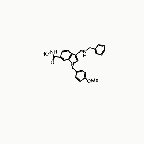 COc1ccc(Cn2cc(CNCc3ccccc3)c3ccc(C(=O)NO)cc32)cc1